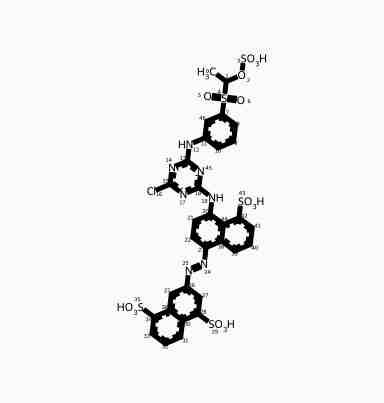 CC(OS(=O)(=O)O)S(=O)(=O)c1cccc(Nc2nc(Cl)nc(Nc3ccc(N=Nc4cc(S(=O)(=O)O)c5cccc(S(=O)(=O)O)c5c4)c4cccc(S(=O)(=O)O)c34)n2)c1